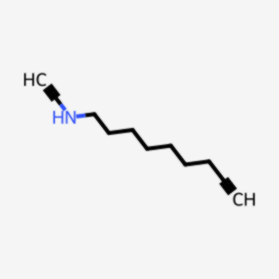 C#CCCCCCCCNC#C